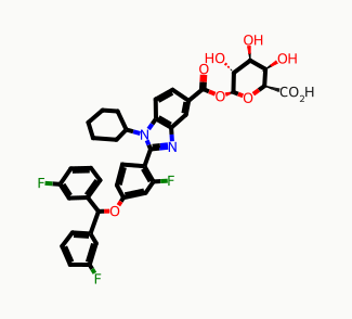 O=C(O[C@@H]1O[C@H](C(=O)O)[C@H](O)[C@H](O)[C@H]1O)c1ccc2c(c1)nc(-c1ccc(OC(c3cccc(F)c3)c3cccc(F)c3)cc1F)n2C1CCCCC1